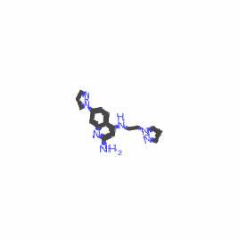 Nc1cc(NCCn2cccn2)c2ccc(-n3cccn3)cc2n1